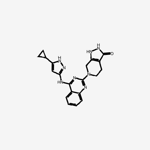 O=c1[nH][nH]c2c1CCN(c1nc(Nc3cc(C4CC4)[nH]n3)c3ccccc3n1)C2